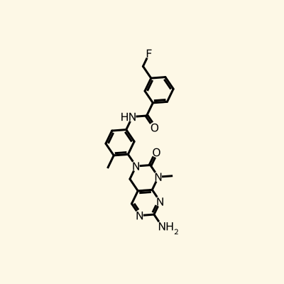 Cc1ccc(NC(=O)c2cccc(CF)c2)cc1N1Cc2cnc(N)nc2N(C)C1=O